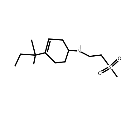 CCC(C)(C)C1=CCC(NCCS(C)(=O)=O)CC1